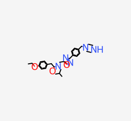 CCOc1ccc(CC(=O)N(Cc2nc(-c3ccc(CN4CCNCC4)cc3)no2)CC(C)C)cc1